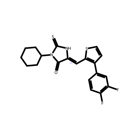 O=C1/C(=C/c2sccc2-c2ccc(F)c(F)c2)NC(=S)N1C1CCCCC1